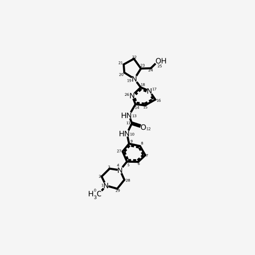 CN1CCN(c2cccc(NC(=O)Nc3ccnc(N4CCCC4CO)n3)c2)CC1